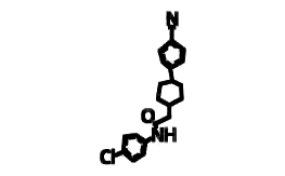 N#Cc1ccc(C2CCC(CC(=O)Nc3ccc(Cl)cc3)CC2)cc1